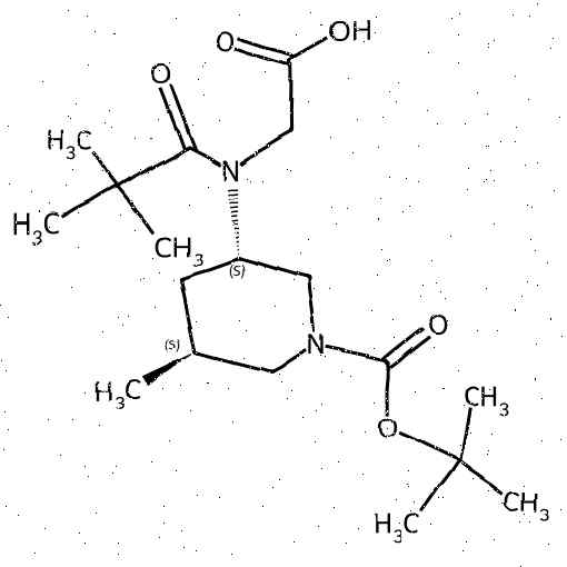 C[C@H]1C[C@H](N(CC(=O)O)C(=O)C(C)(C)C)CN(C(=O)OC(C)(C)C)C1